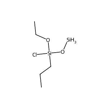 CCC[Si](Cl)(O[SiH3])OCC